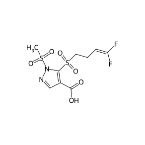 CS(=O)(=O)n1ncc(C(=O)O)c1S(=O)(=O)CCC=C(F)F